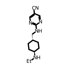 CCN[C@H]1CC[C@H](CNc2ncc(C#N)cn2)CC1